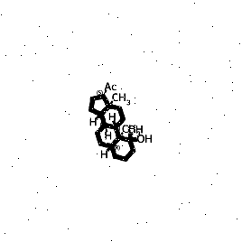 CC(=O)[C@H]1CC[C@H]2[C@@H]3CC[C@H]4CCCC(O)(O)[C@]4(C)[C@H]3CC[C@]12C